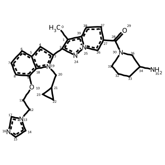 Cc1c(-c2cc3cccc(OCCn4ccnc4)c3n2CC2CC2)nn2cc(C(=O)N3CCCC(N)C3)ccc12